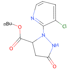 CCCCOC(=O)C1CC(=O)NN1c1ncccc1Cl